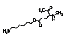 CN[C@@H](CCC(=O)OCCCCCCN)C(C)=O